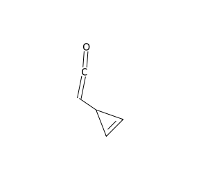 O=C=CC1C=C1